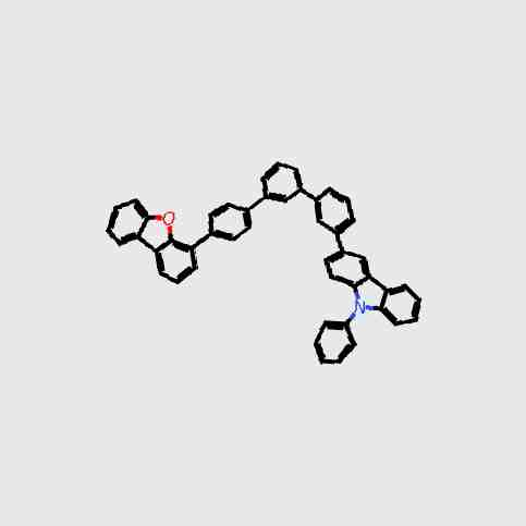 c1ccc(-n2c3ccccc3c3cc(-c4cccc(-c5cccc(-c6ccc(-c7cccc8c7oc7ccccc78)cc6)c5)c4)ccc32)cc1